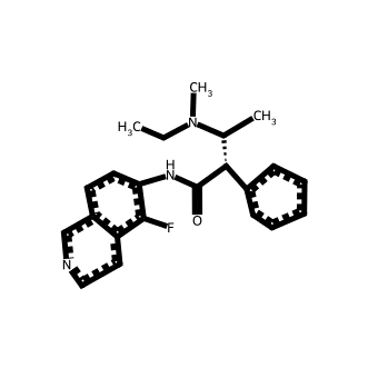 CCN(C)C(C)[C@@H](C(=O)Nc1ccc2cnccc2c1F)c1ccccc1